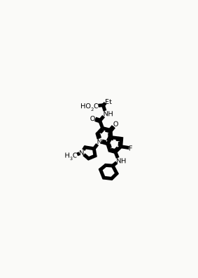 CCC(NC(=O)c1cn(C2CCN(C)C2)c2cc(NC3CCCCC3)c(F)cc2c1=O)C(=O)O